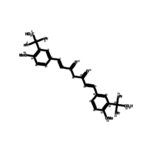 CCCC(CCC)(C(=O)O)c1cc(/C=C/C(=O)CC(=O)/C=C/c2ccc(OC)c(C(CCC)(CCC)C(=O)O)c2)ccc1OC